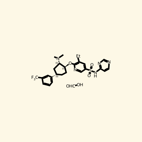 CCc1cc(S(=O)(=O)Nc2ccncn2)cnc1O[C@H]1CC[C@H](c2cccc(C(F)(F)F)c2)C[C@@H]1N(C)C.O=CO